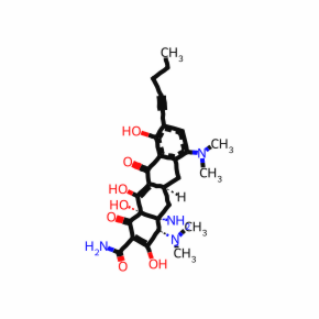 CCCC#Cc1cc(N(C)C)c2c(c1O)C(=O)C1=C(O)[C@]3(O)C(=O)C(C(N)=O)=C(O)[C@@H](N(C)C)[C@]3(N)C[C@@H]1C2